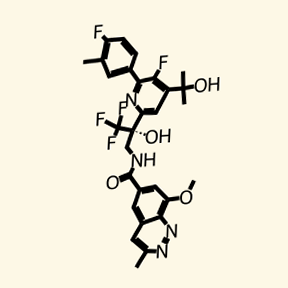 COc1cc(C(=O)NC[C@](O)(c2cc(C(C)(C)O)c(F)c(-c3ccc(F)c(C)c3)n2)C(F)(F)F)cc2cc(C)nnc12